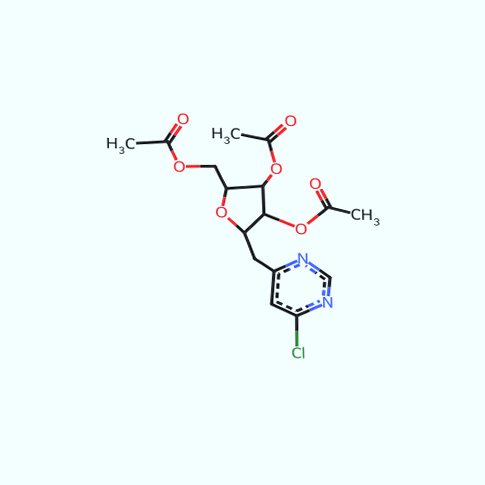 CC(=O)OCC1OC(Cc2cc(Cl)ncn2)C(OC(C)=O)C1OC(C)=O